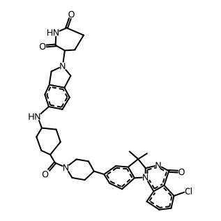 CC1(C)c2cc(C3CCN(C(=O)C4CCC(Nc5ccc6c(c5)CN(C5CCC(=O)NC5=O)C6)CC4)CC3)ccc2-n2c1nc(=O)c1c(Cl)cccc12